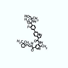 Cc1ncc(C(=O)NCCN2CCCC2(C)C)cc1NC(=O)c1cnn2cc(-c3ccc(C(=O)NC(C)(C)CO)c(F)c3)ccc12